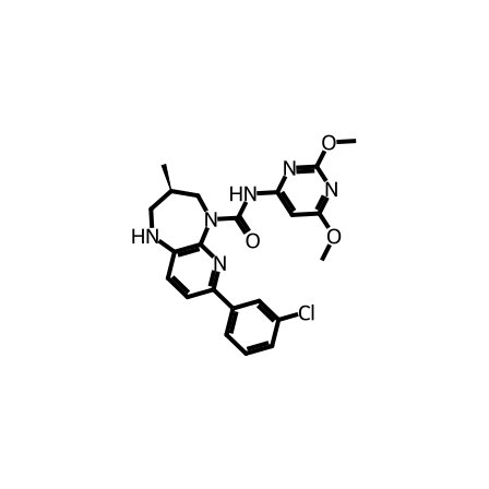 COc1cc(NC(=O)N2C[C@H](C)CNc3ccc(-c4cccc(Cl)c4)nc32)nc(OC)n1